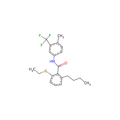 CCCCc1cccc(SCC)c1C(=O)Nc1ccc(C)c(C(F)(F)F)c1